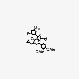 COc1ccc(CCN(CC2CC2)C(=O)c2nc(C3CC3)sc2-c2cc(F)cc(C(F)(F)F)c2)cc1OC